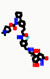 C[N+]1(C)CCC(OC(=O)Nc2cc(CCC(=O)Nc3ccc(CNC[C@@H](O)c4ccc(O)c5[nH]c(=O)ccc45)cc3F)ccc2-c2ccccc2)CC1